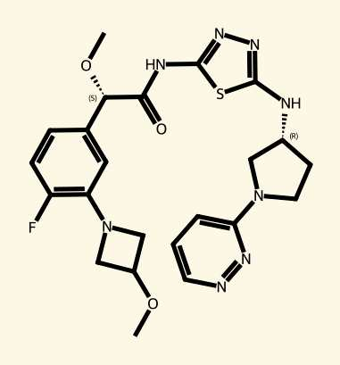 COC1CN(c2cc([C@H](OC)C(=O)Nc3nnc(N[C@@H]4CCN(c5cccnn5)C4)s3)ccc2F)C1